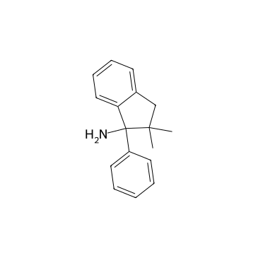 CC1(C)Cc2ccccc2C1(N)c1ccccc1